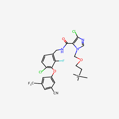 C[Si](C)(C)CCOCn1cnc(Cl)c1C(=O)NCc1ccc(Cl)c(Oc2cc(C#N)cc(C(F)(F)F)c2)c1F